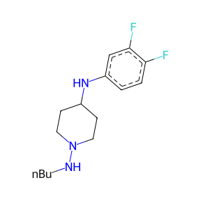 CCCCNN1CCC(Nc2ccc(F)c(F)c2)CC1